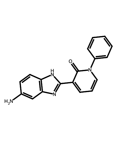 Nc1ccc2[nH]c(-c3cccn(-c4ccccc4)c3=O)nc2c1